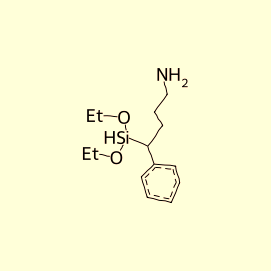 CCO[SiH](OCC)C(CCCN)c1ccccc1